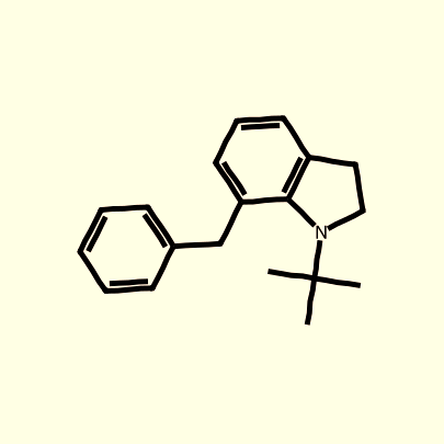 CC(C)(C)N1CCc2cccc(Cc3ccccc3)c21